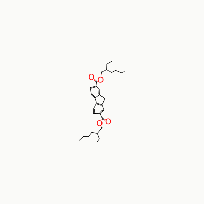 CCCCC(CC)COC(=O)c1ccc2c(c1)Cc1cc(C(=O)OCC(CC)CCCC)ccc1-2